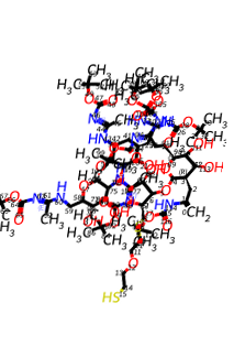 C=C(C[C@H]1C(OC2[C@@H](CSCCOCCS)O[C@@H](O[C@@H]3C(O)[C@H](C/C(=N\C(=O)OC(C)(C)C)NC(=O)OC(C)(C)C)CC(N/C(C)=N/C(=O)OC(C)(C)C)[C@H]3O[C@H]3OC(CN/C(C)=N/C(=O)OC(C)(C)C)[C@@H](O)[C@H](O)C3N/C(C)=N\C(=O)OC(C)(C)C)[C@H]2O)O[C@@H](CC/C(=N\C(=O)OC(C)(C)C)NC(=O)OC(C)(C)C)C(O)[C@H]1O)NC(=O)OC(C)(C)C